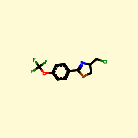 FC(F)(F)Oc1ccc(C2=NC(CCl)CS2)cc1